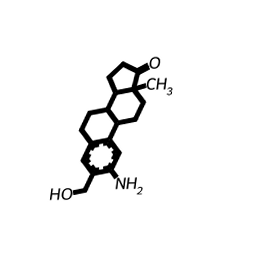 CC12CCC3c4cc(N)c(CO)cc4CCC3C1CCC2=O